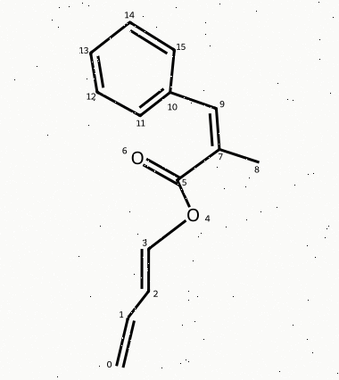 C=CC=COC(=O)C(C)=Cc1ccccc1